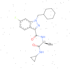 CC(C)(C)[C@H](NC(=O)c1nn(CC2CCCCC2)c2cc(F)ccc12)C(=O)NC1CC1